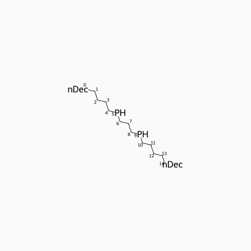 CCCCCCCCCCCCCCPCCCPCCCCCCCCCCCCCC